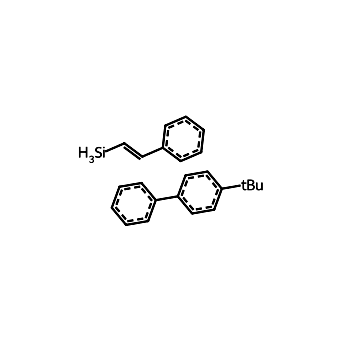 CC(C)(C)c1ccc(-c2ccccc2)cc1.[SiH3]C=Cc1ccccc1